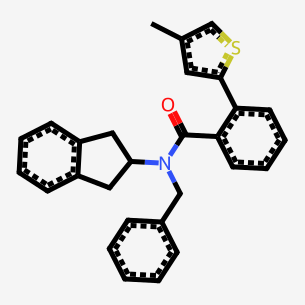 Cc1csc(-c2ccccc2C(=O)N(Cc2ccccc2)C2Cc3ccccc3C2)c1